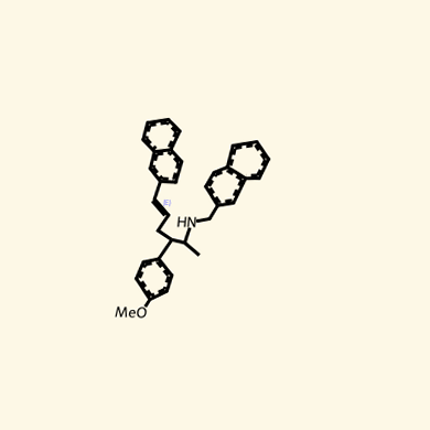 COc1ccc(C(C/C=C/c2ccc3ccccc3c2)C(C)NCc2ccc3ccccc3c2)cc1